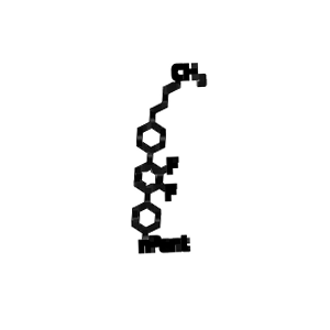 C/C=C/CCC1CCC(c2ccc(C3C=CC(CCCCC)CC3)c(F)c2F)CC1